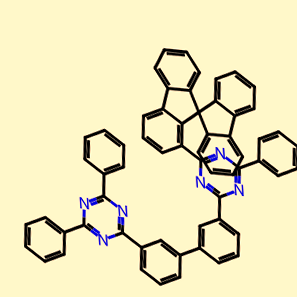 c1ccc(-c2nc(-c3ccccc3)nc(-c3cccc(-c4cccc(-c5nc(-c6ccccc6)nc(-c6cccc7c6C6(c8ccccc8-c8ccccc86)c6ccccc6-7)n5)c4)c3)n2)cc1